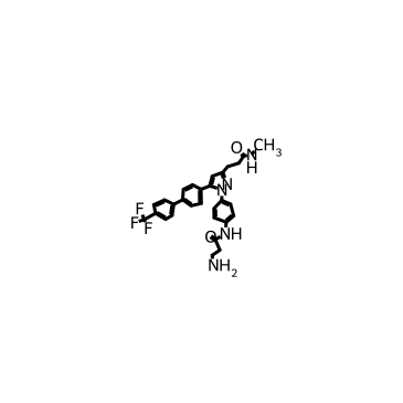 CNC(=O)CCc1cc(-c2ccc(-c3ccc(C(F)(F)F)cc3)cc2)n(-c2ccc(NC(=O)CCN)cc2)n1